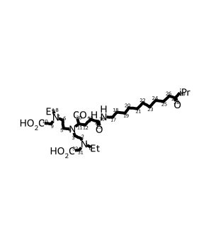 CCN(CCN(CCN(CC)CC(=O)O)C(CCC(=O)NCCCCCCCCCCC(=O)C(C)C)C(=O)O)CC(=O)O